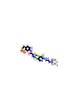 CN(C)CCCNc1ncc(Cl)c(Sc2nnc(C(=O)Nc3ccc4c(c3)S(=O)(=O)C=C4)s2)c1Cl